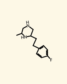 CC1CNCC(CCc2ccc(F)cc2)N1